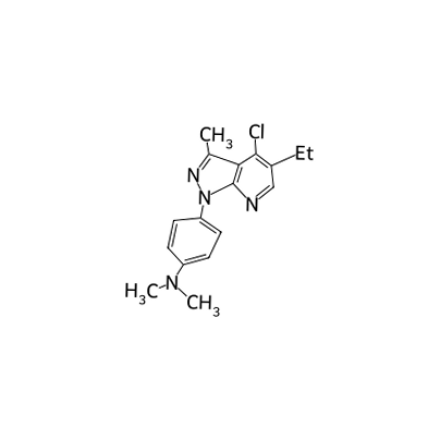 CCc1cnc2c(c(C)nn2-c2ccc(N(C)C)cc2)c1Cl